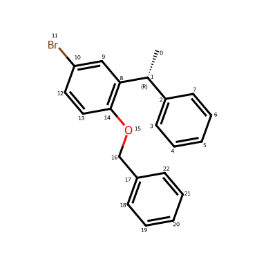 C[C@H](c1ccccc1)c1cc(Br)ccc1OCc1ccccc1